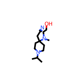 CC(C)N1CCC(CC#N)(N(C)CCO)CC1